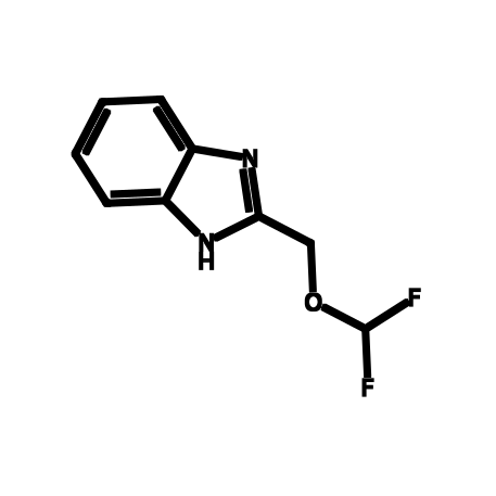 FC(F)OCc1nc2ccccc2[nH]1